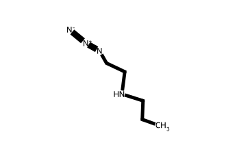 CCCNCCN=[N+]=[N-]